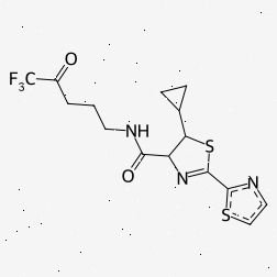 O=C(NCCCC(=O)C(F)(F)F)C1N=C(c2nccs2)SC1C1CC1